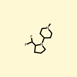 CN1CCC(N2CCCC2C(F)F)CC1